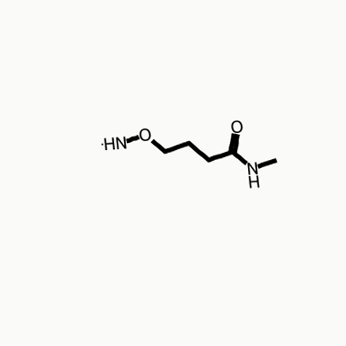 CNC(=O)CCCO[NH]